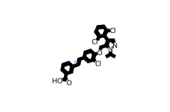 CC(C)n1ncc(-c2c(Cl)cccc2Cl)c1COc1ccc(/C=C/c2cccc(C(=O)O)c2)cc1Cl